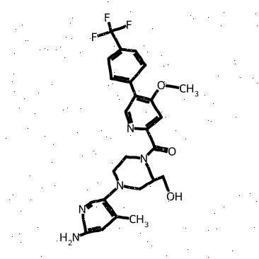 COc1cc(C(=O)N2CCN(c3cnc(N)cc3C)CC2CO)ncc1-c1ccc(C(F)(F)F)cc1